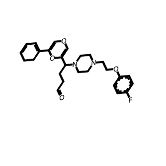 O=CCCC(C1=COC=C(C2=CC=CCC2)O1)N1CCN(CCOc2ccc(F)cc2)CC1